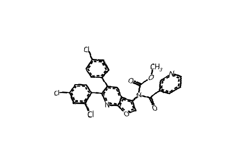 COC(=O)N(C(=O)c1cccnc1)c1coc2nc(-c3ccc(Cl)cc3Cl)c(-c3ccc(Cl)cc3)cc12